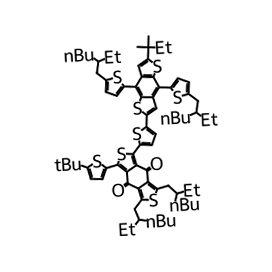 CCCCC(CC)Cc1ccc(-c2c3cc(C(C)(C)CC)sc3c(-c3ccc(CC(CC)CCCC)s3)c3cc(-c4ccc(-c5sc(-c6ccc(C(C)(C)C)s6)c6c5C(=O)c5c(CC(CC)CCCC)sc(CC(CC)CCCC)c5C6=O)s4)sc23)s1